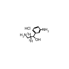 Cl.[2H]C([2H])(CN)C(O)c1cccc(N)c1